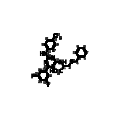 O=C(O)[C@H](CSCc1ccccc1)Nc1nc(Nc2ccc(C(F)(F)F)cc2)nc(-c2cc(F)cc(F)c2)n1